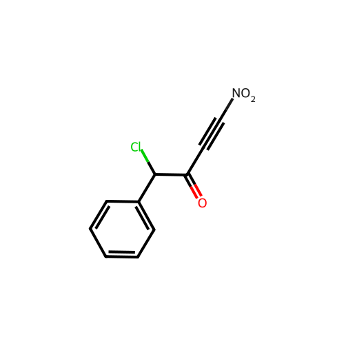 O=C(C#C[N+](=O)[O-])C(Cl)c1ccccc1